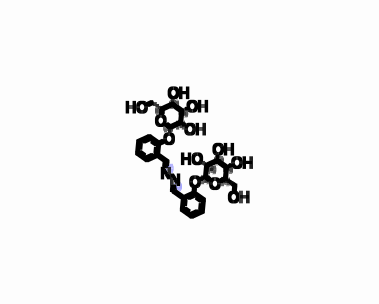 OC[C@H]1O[C@@H](Oc2ccccc2/C=N/N=C/c2ccccc2O[C@@H]2O[C@H](CO)[C@H](O)[C@H](O)[C@H]2O)[C@H](O)[C@@H](O)[C@H]1O